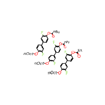 CCCCCCCCOc1ccc(-c2ccc(OC(=O)CC)c(F)c2)cc1F.CCCCCCCCOc1ccc(-c2ccc(OC(=O)CCC)c(F)c2)cc1F.CCCCCCCCOc1ccc(-c2ccc(OC(=O)CCCC)c(F)c2)cc1F